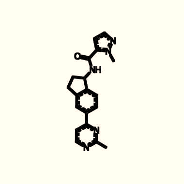 Cc1nccc(-c2ccc3c(c2)CCC3NC(=O)c2ccnn2C)n1